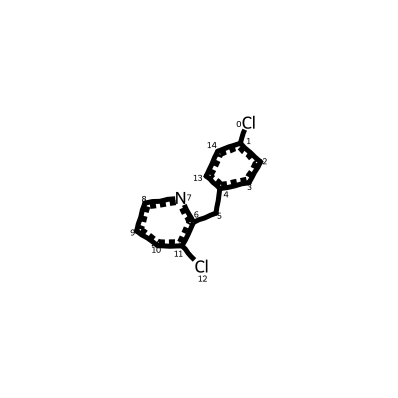 Clc1ccc(Cc2ncc[c]c2Cl)cc1